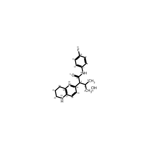 CC(C)C(C(=O)Nc1ccc(F)cc1)c1ccc2c(n1)CCCN2.Cl